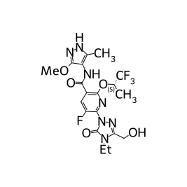 CCn1c(CO)nn(-c2nc(O[C@@H](C)C(F)(F)F)c(C(=O)Nc3c(OC)n[nH]c3C)cc2F)c1=O